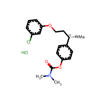 CN[C@@H](CCOc1cccc(Cl)c1)c1ccc(OC(=O)N(C)C)cc1.Cl